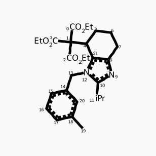 CCOC(=O)C(C(=O)OCC)(C(=O)OCC)C1CCCc2nc(C(C)C)n(Cc3cccc(C)c3)c21